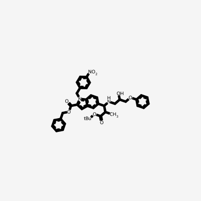 CC(C(=O)OC(C)(C)C)C(NCC(O)COc1ccccc1)c1ccc2c(c1)cc(C(=O)OCc1ccccc1)n2Cc1ccc([N+](=O)[O-])cc1